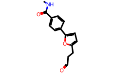 CNC(=O)c1ccc(-c2ccc(CCC=O)o2)cc1